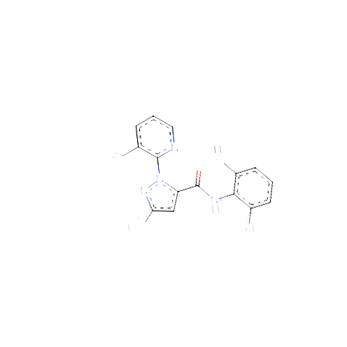 Cc1cccc(Cl)c1NC(=O)c1cc(C(F)(F)F)nn1-c1ncccc1Cl